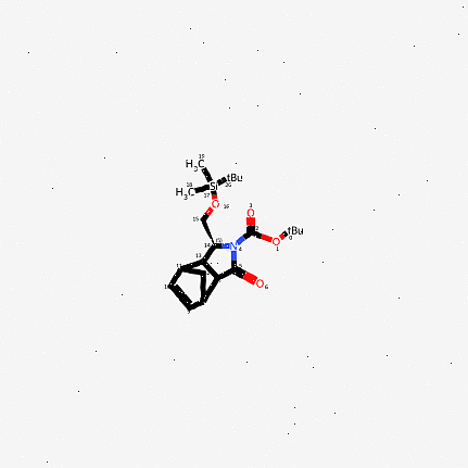 CC(C)(C)OC(=O)N1C(=O)C2C3C=CC(C3)C2[C@H]1CO[Si](C)(C)C(C)(C)C